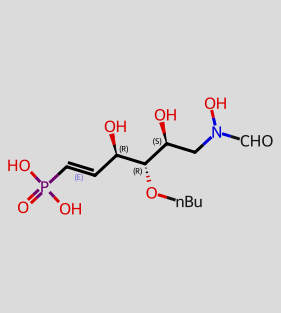 CCCCO[C@H]([C@H](O)/C=C/P(=O)(O)O)[C@@H](O)CN(O)C=O